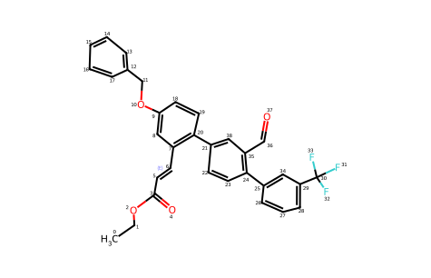 CCOC(=O)/C=C/c1cc(OCc2ccccc2)ccc1-c1ccc(-c2cccc(C(F)(F)F)c2)c(C=O)c1